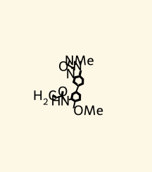 C=CC(=O)Nc1cc(-c2ccc3cnc(C(=O)NC)nc3c2)ccc1COC